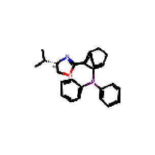 CC(C)[C@H]1COC(C2=C3CCC(=C2P(c2ccccc2)c2ccccc2)C3)=N1